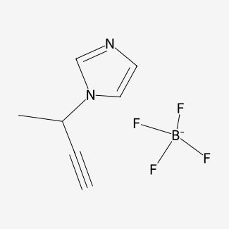 C#CC(C)n1ccnc1.F[B-](F)(F)F